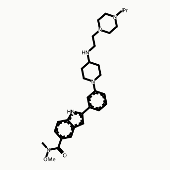 CON(C)C(=O)c1ccc2[nH]c(-c3cccc(N4CCC(NCCN5CCN(C(C)C)CC5)CC4)c3)cc2c1